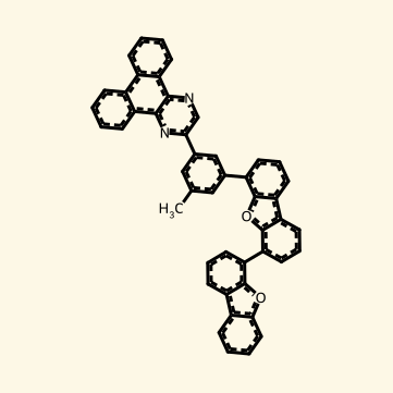 Cc1cc(-c2cnc3c4ccccc4c4ccccc4c3n2)cc(-c2cccc3c2oc2c(-c4cccc5c4oc4ccccc45)cccc23)c1